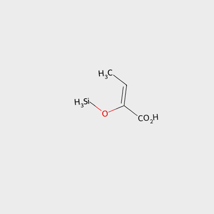 CC=C(O[SiH3])C(=O)O